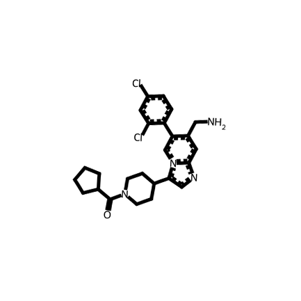 NCc1cc2ncc(C3CCN(C(=O)C4CCCC4)CC3)n2cc1-c1ccc(Cl)cc1Cl